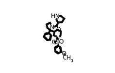 COc1cccc(S(=O)(=O)N2CCCC(C3(c4ccccc4)CCCN3C(=O)C3CCCNC3)C2)c1